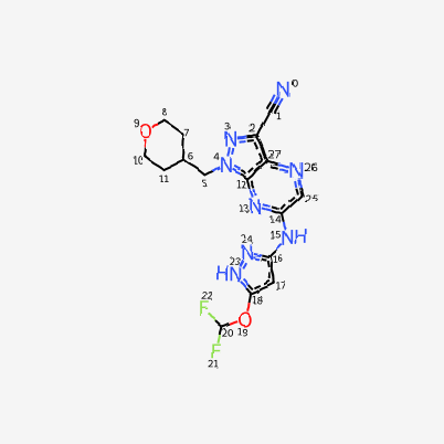 N#Cc1nn(CC2CCOCC2)c2nc(Nc3cc(OC(F)F)[nH]n3)cnc12